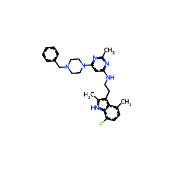 Cc1nc(NCCc2c(C)[nH]c3c(F)ccc(C)c23)cc(N2CCN(Cc3ccccc3)CC2)n1